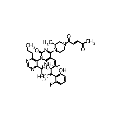 C=C(c1c(O)cccc1F)[C@@H](O)/C(F)=C\c1c(N2CCN(C(=O)/C=C/C(C)=O)C[C@@H]2C)nc(=O)n(-c2c(CCC)ncnc2CCC)c1N